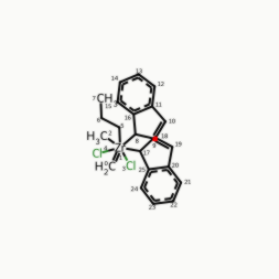 [CH2]=[Zr]([CH3])([Cl])([Cl])([CH2]CC)([CH]1C=Cc2ccccc21)[CH]1C=Cc2ccccc21